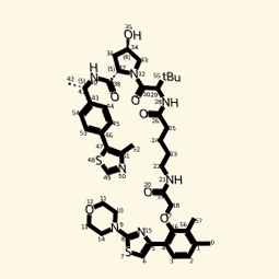 Cc1ccc(-c2csc(N3CCOCC3)n2)c(OCC(=O)NCCCCC(=O)NC(C(=O)N2C[C@H](O)C[C@H]2C(=O)N[C@@H](C)c2ccc(-c3scnc3C)cc2)C(C)(C)C)c1C